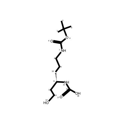 CC(C)(C)OC(=O)NCCC[C@@H](CCO)NC(=O)O